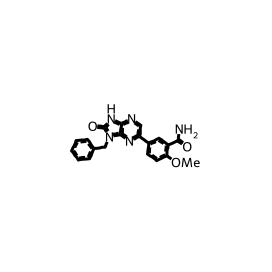 COc1ccc(-c2cnc3[nH]c(=O)n(Cc4ccccc4)c3n2)cc1C(N)=O